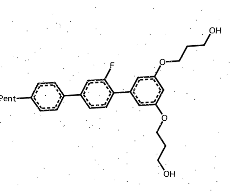 CCCCCc1ccc(-c2ccc(-c3cc(OCCCO)cc(OCCCO)c3)c(F)c2)cc1